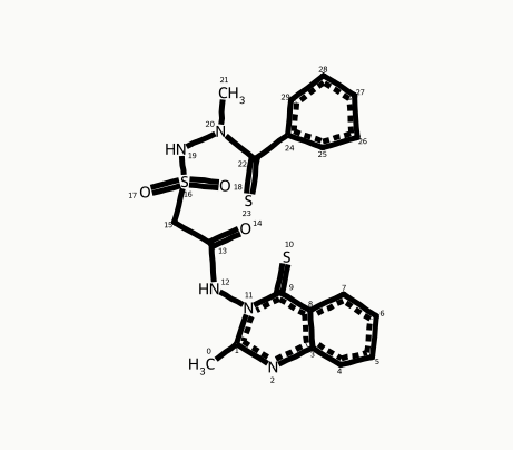 Cc1nc2ccccc2c(=S)n1NC(=O)CS(=O)(=O)NN(C)C(=S)c1ccccc1